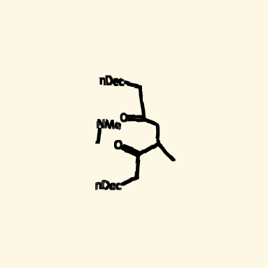 CCCCCCCCCCCC(=O)CC(C)C(=O)CCCCCCCCCCC.CNC